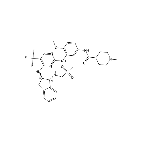 COc1ccc(NC(=O)C2CCN(C)CC2)cc1Nc1ncc(C(F)(F)F)c(N[C@@H]2Cc3ccccc3[C@H]2NCS(C)(=O)=O)n1